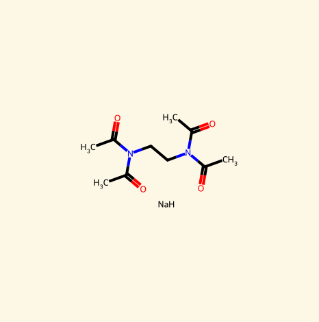 CC(=O)N(CCN(C(C)=O)C(C)=O)C(C)=O.[NaH]